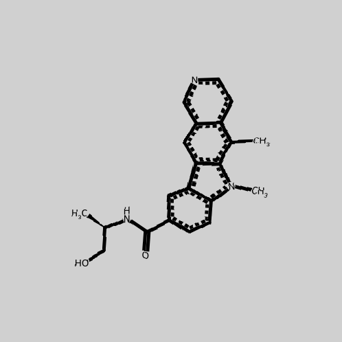 Cc1c2ccncc2cc2c3cc(C(=O)N[C@H](C)CO)ccc3n(C)c12